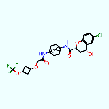 O=C(CO[C@H]1C[C@@H](OC(F)(F)F)C1)NC12CCC(NC(=O)[C@H]3C[C@@H](O)c4cc(Cl)ccc4O3)(CC1)CC2